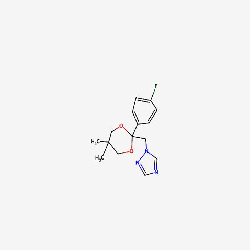 CC1(C)COC(Cn2cncn2)(c2ccc(F)cc2)OC1